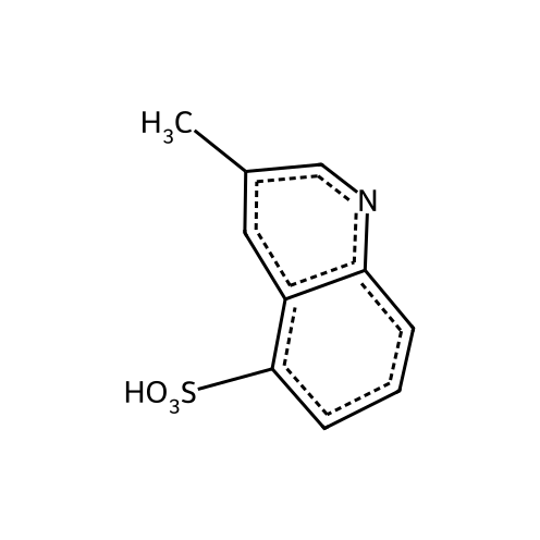 Cc1cnc2cccc(S(=O)(=O)O)c2c1